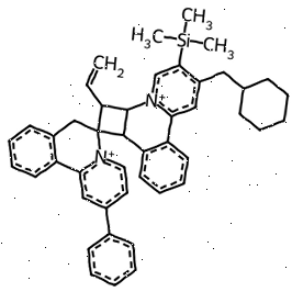 C=CC1C2C(c3ccccc3-c3cc(CC4CCCCC4)c([Si](C)(C)C)c[n+]32)C12Cc1ccccc1-c1cc(-c3ccccc3)cc[n+]12